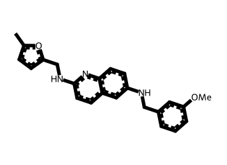 COc1cccc(CNc2ccc3nc(NCc4ccc(C)o4)ccc3c2)c1